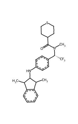 CC1c2ccccc2C(C)C1Nc1ccc([C@H](N(C)C(=O)C2CCSCC2)C(F)(F)F)cc1